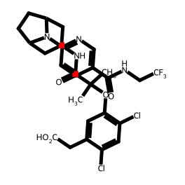 CC(C)(Oc1cc(CC(=O)O)c(Cl)cc1Cl)C(=O)NC1CC2CCC(C1)N2c1ccc(C(=O)NCC(F)(F)F)cn1